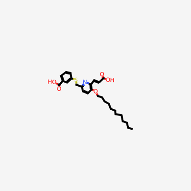 CCCCCCCCCCCCOc1ccc(CSc2cccc(C(=O)O)c2)nc1C=CC(=O)O